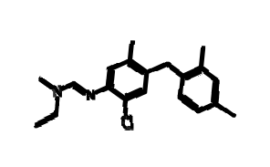 CCN(C)C=Nc1cc(C)c(Cc2ccc(C)cc2C)cc1Cl